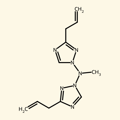 C=CCc1ncn(N(C)n2cnc(CC=C)n2)n1